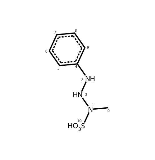 CN(NNc1ccccc1)S(=O)(=O)O